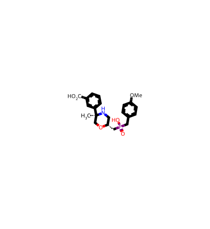 COc1ccc(CP(=O)(O)C[C@H]2CN[C@](C)(c3cccc(C(=O)O)c3)CO2)cc1